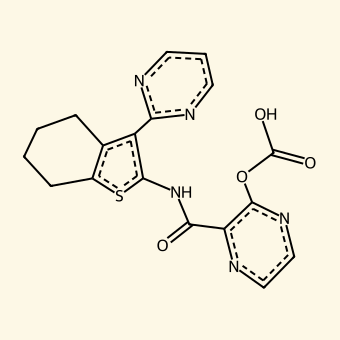 O=C(O)Oc1nccnc1C(=O)Nc1sc2c(c1-c1ncccn1)CCCC2